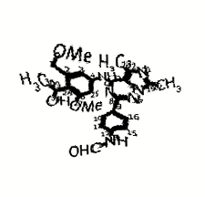 COCc1cc(Nc2nc(-c3ccc(NC=O)cc3)nn3c(C)nc(C)c23)cc(OC)c1C(C)O